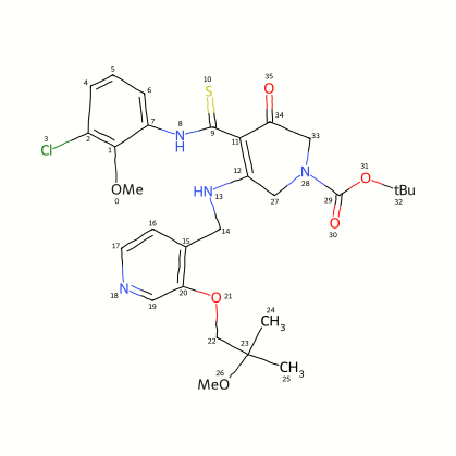 COc1c(Cl)cccc1NC(=S)C1=C(NCc2ccncc2OCC(C)(C)OC)CN(C(=O)OC(C)(C)C)CC1=O